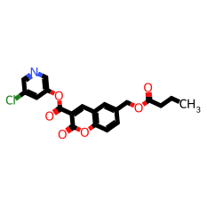 CCCC(=O)OCc1ccc2oc(=O)c(C(=O)Oc3cncc(Cl)c3)cc2c1